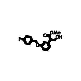 COC(=O)C(CO)c1cccc(OCc2ccc(F)cc2)c1